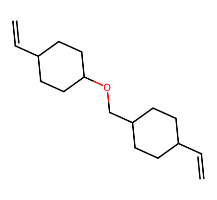 C=CC1CCC(COC2CCC(C=C)CC2)CC1